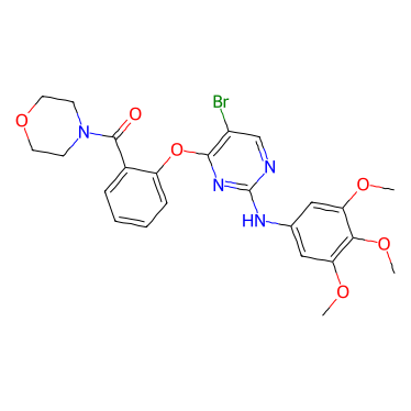 COc1cc(Nc2ncc(Br)c(Oc3ccccc3C(=O)N3CCOCC3)n2)cc(OC)c1OC